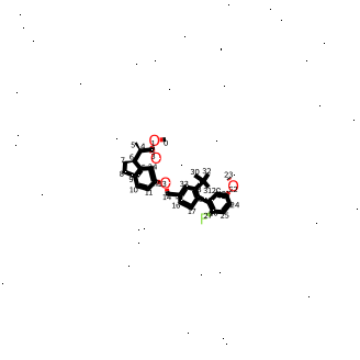 COC(=O)[C@H](C)[C@@H]1CCc2ccc(OCc3ccc(-c4cc(OC)ccc4F)c(C(C)(C)C)c3)cc21